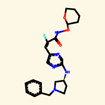 O=C(NOC1CCCCO1)/C(F)=C\c1cnc(N[C@@H]2CCN(Cc3ccccc3)C2)cn1